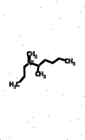 C=[N+](CCC)C(C)CCCC